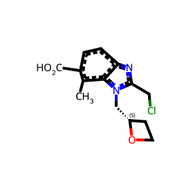 Cc1c(C(=O)O)ccc2nc(CCl)n(C[C@@H]3CCO3)c12